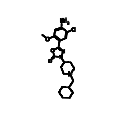 COc1cc(N)c(Cl)cc1-c1nn(C2CCN(CC3CCCCC3)CC2)c(=O)o1